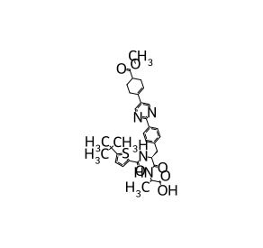 COC(=O)C1CC=C(c2cnc(-c3ccc(C[C@H](NC(=O)c4ccc(C(C)(C)C)s4)C(=O)N[C@H](C)C(=O)O)cc3)nc2)CC1